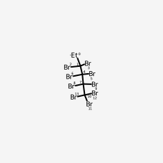 C[CH]C(Br)(Br)C(Br)(Br)C(Br)(Br)C(Br)(Br)Br